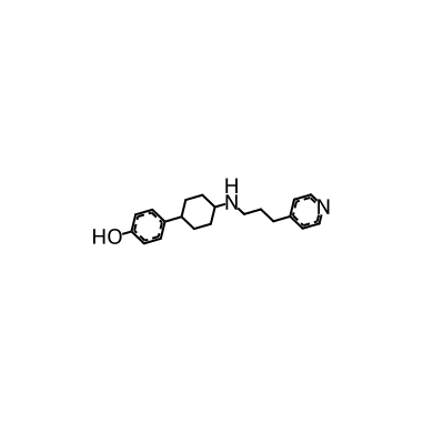 Oc1ccc(C2CCC(NCCCc3ccncc3)CC2)cc1